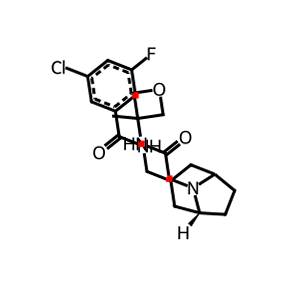 CC1(NC(=O)CN2C3CC[C@@H]2CC(CNC(=O)c2cc(F)cc(Cl)c2)C3)COC1